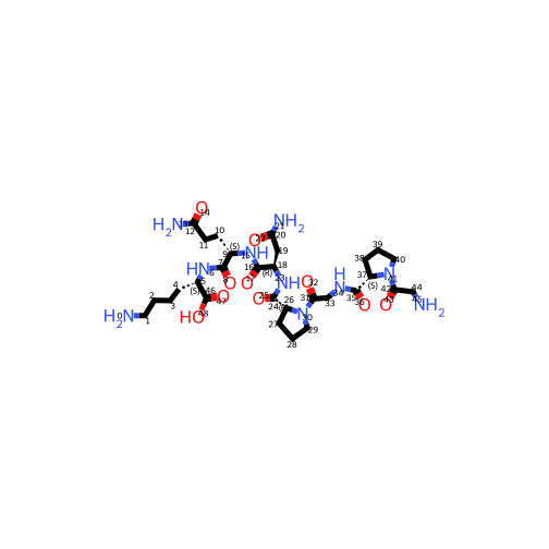 NCCCC[C@H](NC(=O)[C@H](CCC(N)=O)NC(=O)[C@@H](CC(N)=O)NC(=O)[C@H]1CCCN1C(=O)CNC(=O)[C@@H]1CCCN1C(=O)CN)C(=O)O